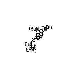 CCC(C#CCOCC1=CC[C@H]2C3=CC=C4C[C@@H](O[Si](C)(C)C(C)(C)C)C[C@H](O[Si](C)(C)C(C)(C)C)[C@]4(C)[C@H]3CC[C@]12C)(CC)O[Si](CC)(CC)CC